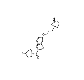 O=C(c1ccc2cc(OCCCC3CCCNC3)ccc2c1)N1CCC(F)CC1